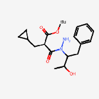 CC(O)C(Cc1ccccc1)N(N)C(=O)C(CC1CC1)C(=O)OC(C)(C)C